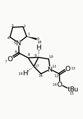 C[C@@H]1CCCN1C(=O)C1[C@H]2CN(C(=O)OC(C)(C)C)C[C@@H]12